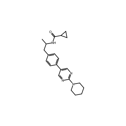 CC(Cc1ccc(-c2cnc(N3CCCCC3)nc2)cc1)NC(=O)C1CC1